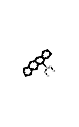 CCO[SiH](OCC)c1c2ccccc2cc2cc3ccccc3cc12